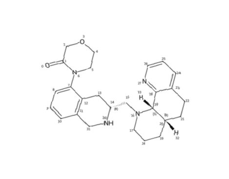 O=C1COCCN1c1cccc2c1C[C@H](CN1CCC[C@H]3CCc4cccnc4[C@H]31)NC2